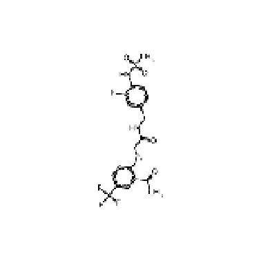 CC(=O)c1cc(C(F)(F)F)ccc1OCC(=O)NCc1ccc(NS(C)(=O)=O)c(F)c1